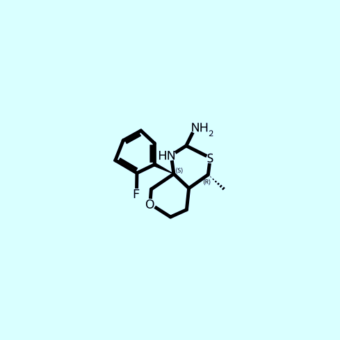 C[C@H]1SC(N)N[C@@]2(c3ccccc3F)COCCC12